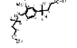 COc1cc(C(C#N)(CCC=O)C(C)C)ccc1PC(C)(C)CCOC(C)(C)C